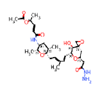 CC(=O)O[C@@H](C)C=CC(=O)N[C@@H]1C[C@H](C)[C@H](CC=C(C)C=C[C@H]2O[C@H](CC(=O)NN)C[C@@]3(CO3)[C@@H]2O)O[C@@H]1C